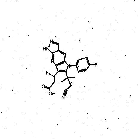 CC(C)(CC#N)c1c([C@H](F)CC(=O)O)c2nc3[nH]ncc3cc2n1-c1ccc(F)cc1